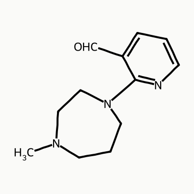 CN1CCCN(c2ncccc2C=O)CC1